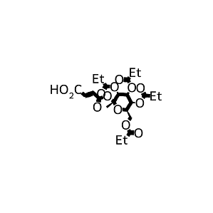 CCC(=O)OC[C@H]1O[C@](C)(OC(=O)/C=C/C(=O)O)[C@H](OC(=O)CC)[C@@H](OC(=O)CC)[C@@H]1OC(=O)CC